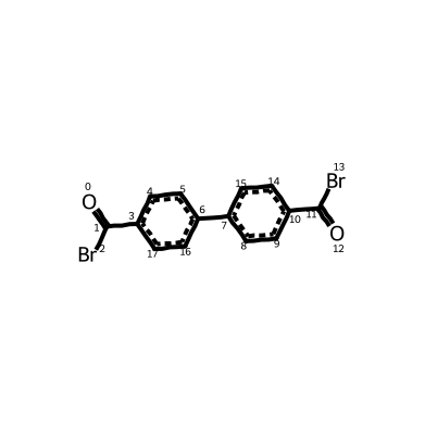 O=C(Br)c1ccc(-c2ccc(C(=O)Br)cc2)cc1